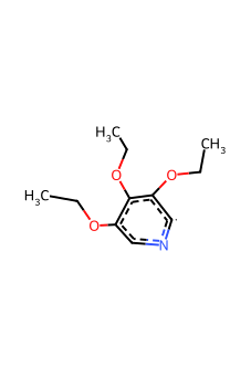 CCOc1[c]ncc(OCC)c1OCC